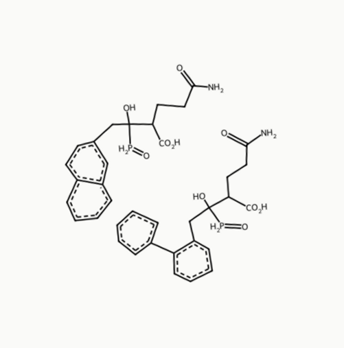 NC(=O)CCC(C(=O)O)C(O)(Cc1ccc2ccccc2c1)[PH2]=O.NC(=O)CCC(C(=O)O)C(O)(Cc1ccccc1-c1ccccc1)[PH2]=O